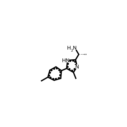 Cc1ccc(-c2[nH]c([C@@H](C)N)nc2C)cc1